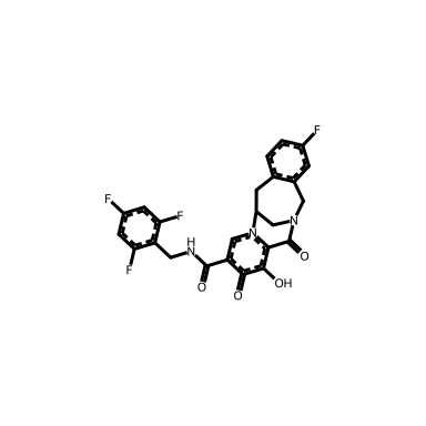 O=C(NCc1c(F)cc(F)cc1F)c1cn2c(c(O)c1=O)C(=O)N1Cc3cc(F)ccc3CC2C1